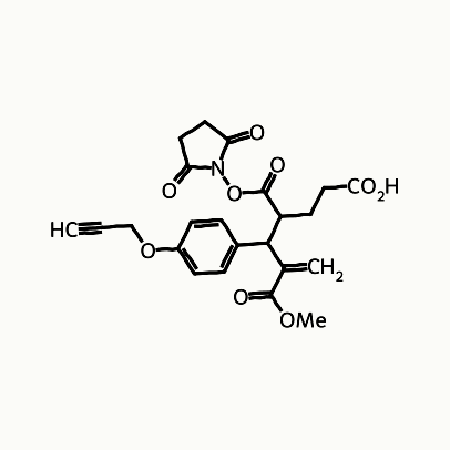 C#CCOc1ccc(C(C(=C)C(=O)OC)C(CCC(=O)O)C(=O)ON2C(=O)CCC2=O)cc1